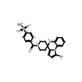 CC(=O)c1ccc2n1-c1ccccc1OC21CCN(C(=O)c2ccc(S(=O)(=O)C(C)(C)C)cc2)CC1